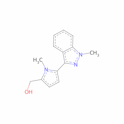 Cn1c(CO)ccc1-c1nn(C)c2ccccc12